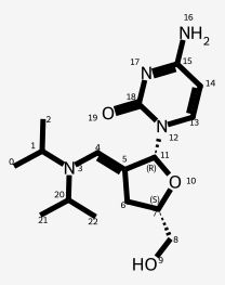 CC(C)N(C=C1C[C@@H](CO)O[C@H]1n1ccc(N)nc1=O)C(C)C